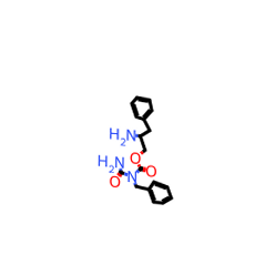 NC(=O)N(Cc1ccccc1)C(=O)OCC(N)Cc1ccccc1